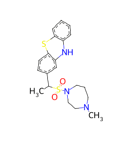 CC(c1ccc2c(c1)Nc1ccccc1S2)S(=O)(=O)N1CCCN(C)CC1